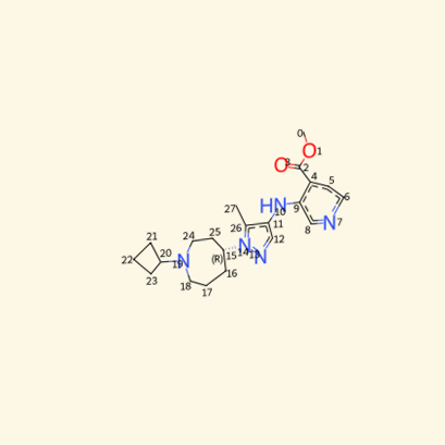 COC(=O)c1ccncc1Nc1cnn([C@@H]2CCCN(C3CCC3)CC2)c1C